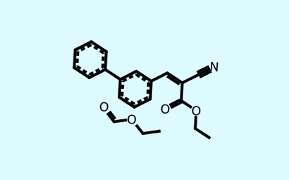 CCOC(=O)C(C#N)=Cc1cccc(-c2ccccc2)c1.CCOC=O